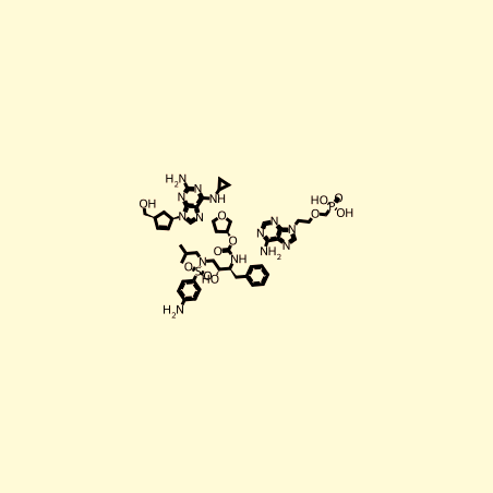 CC(C)CN(C[C@@H](O)[C@H](Cc1ccccc1)NC(=O)O[C@H]1CCOC1)S(=O)(=O)c1ccc(N)cc1.Nc1nc(NC2CC2)c2ncn([C@H]3C=C[C@@H](CO)C3)c2n1.Nc1ncnc2c1ncn2CCOCP(=O)(O)O